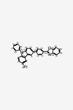 CC(C)c1ccc2c(c1)c1cc(-c3ccc(-c4nc5ccccc5o4)cc3)ccc1n2-c1ccccc1